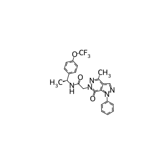 Cc1nn(CC(=O)N[C@@H](C)c2ccc(OC(F)(F)F)cc2)c(=O)c2c1cnn2-c1ccccc1